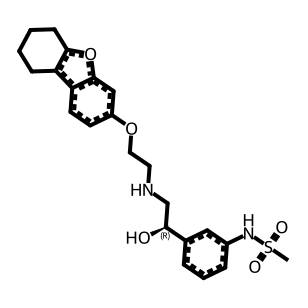 CS(=O)(=O)Nc1cccc([C@@H](O)CNCCOc2ccc3c4c(oc3c2)CCCC4)c1